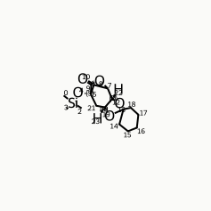 C[Si](C)(C)O[C@@]12CC(OC1=O)[C@@H]1OC3(CCCCC3)O[C@@H]1C2